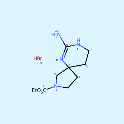 Br.CCOC(=O)N1CCC2(CCNC(N)=N2)C1